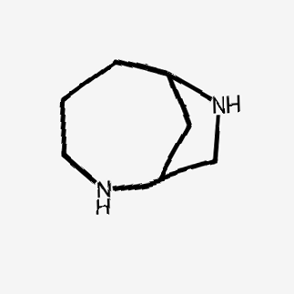 C1CNC2CNC(C1)C2